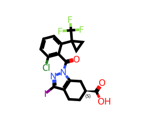 O=C(O)[C@H]1CCc2c(I)nn(C(=O)c3c(Cl)cccc3C3(C(F)(F)F)CC3)c2C1